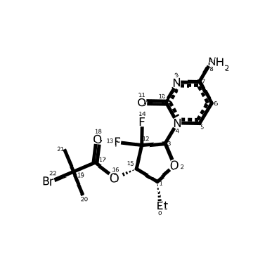 CC[C@H]1OC(n2ccc(N)nc2=O)C(F)(F)[C@H]1OC(=O)C(C)(C)Br